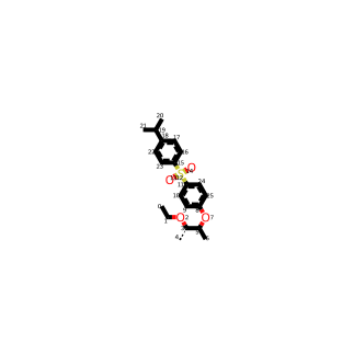 CCO[C@@H](C)C(C)Oc1ccc(S(=O)(=O)c2ccc(C(C)C)cc2)cc1